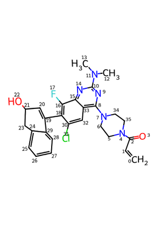 C=CC(=O)N1CCN(c2nc(N(C)C)nc3c(F)c(C4=CC(O)Cc5ccccc54)c(Cl)cc23)CC1